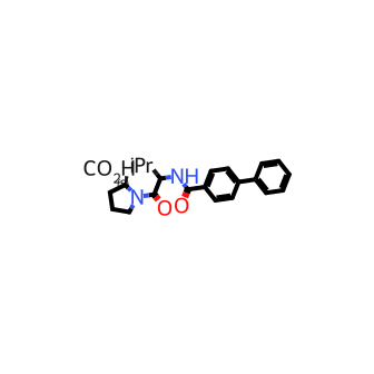 CC(C)C(NC(=O)c1ccc(-c2ccccc2)cc1)C(=O)N1CCC[C@H]1C(=O)O